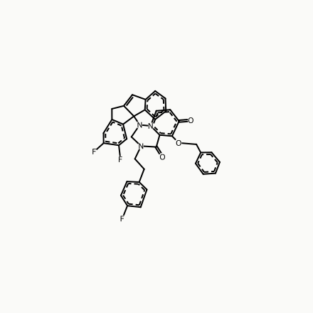 O=C1c2c(OCc3ccccc3)c(=O)ccn2N(C23C(=Cc4ccccc42)Cc2cc(F)c(F)cc23)CN1CCc1ccc(F)cc1